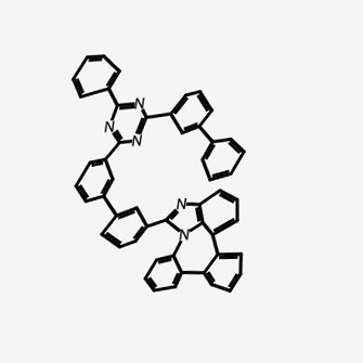 c1ccc(-c2cccc(-c3nc(-c4ccccc4)nc(-c4cccc(-c5cccc(-c6nc7cccc8c7n6-c6ccccc6-c6ccccc6-8)c5)c4)n3)c2)cc1